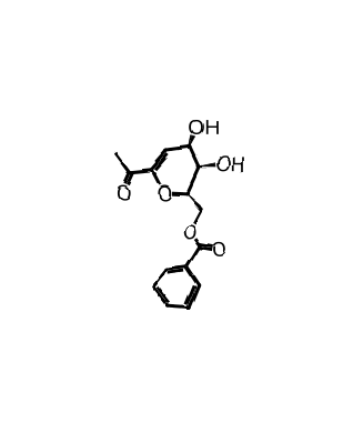 CC(=O)C1=C[C@@H](O)[C@@H](O)[C@@H](COC(=O)c2ccccc2)O1